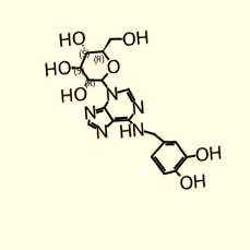 OC[C@H]1OC(n2cnc(NCc3ccc(O)c(O)c3)c3ncnc2-3)[C@H](O)[C@@H](O)[C@@H]1O